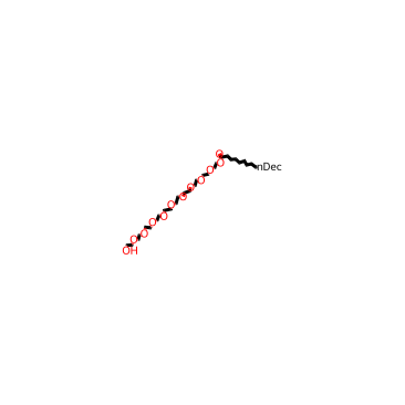 CCCCCCCCCCCCCCCCCCC(=O)OCCOCCOCCOCCOCCOCCOCCOCCOCCOCCO